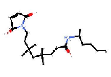 CCCCC(C)NC(=O)CCC(C)(C)CC(C)(C)CCN1C(=O)C=CC1=O